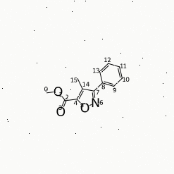 COC(=O)c1onc(-c2ccccc2)c1C